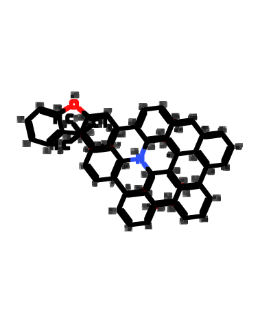 CC(C)(C)c1ccc(-c2ccccc2)c(N(c2ccccc2-c2ccc3c(c2)oc2ccccc23)c2ccccc2-c2cccc3cccc(-c4ccccc4)c23)c1